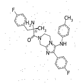 Cc1ccc(Nc2c(-c3ccc(F)cc3)nc3n2CCN(C(=O)[C@@](C)(N)Cc2ccc(F)cc2)C3)cc1